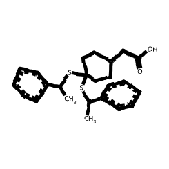 CC(SC1(SC(C)c2ccccc2)CCC(CC(=O)O)CC1)c1ccccc1